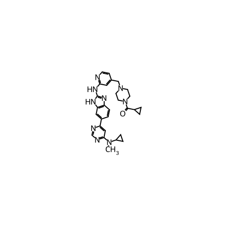 CN(c1cc(-c2ccc3nc(Nc4cc(CN5CCN(C(=O)C6CC6)CC5)ccn4)[nH]c3c2)ncn1)C1CC1